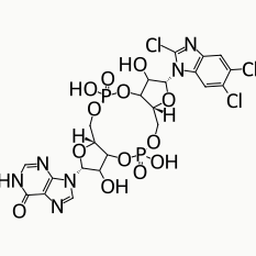 O=c1[nH]cnc2c1ncn2[C@@H]1O[C@@H]2COP(=O)(O)OC3C(O)[C@H](n4c(Cl)nc5cc(Cl)c(Cl)cc54)O[C@@H]3COP(=O)(O)OC2C1O